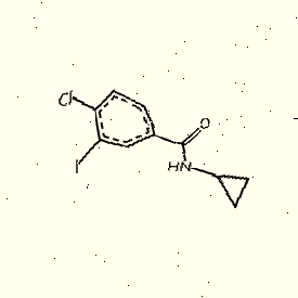 O=C(NC1CC1)c1ccc(Cl)c(I)c1